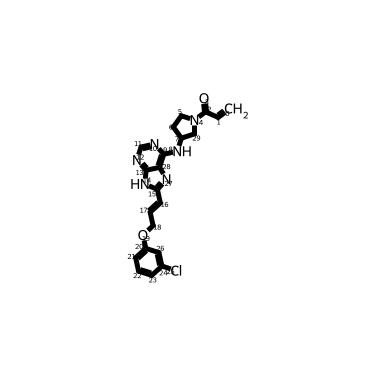 C=CC(=O)N1CCC(Nc2ncnc3[nH]c(/C=C/COc4cccc(Cl)c4)nc23)C1